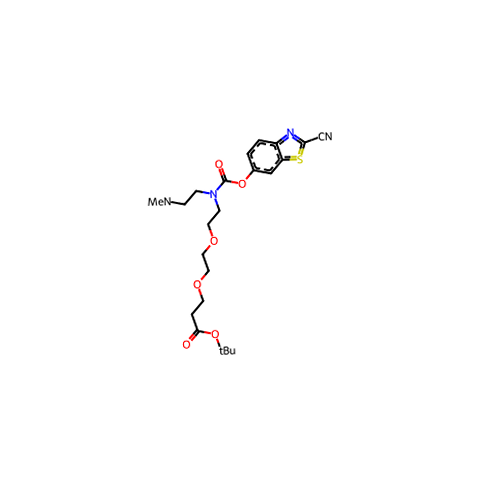 CNCCN(CCOCCOCCC(=O)OC(C)(C)C)C(=O)Oc1ccc2nc(C#N)sc2c1